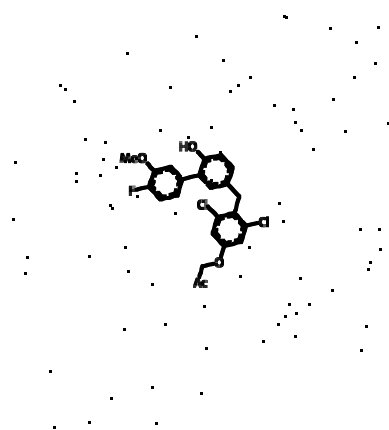 COc1cc(-c2cc(Cc3c(Cl)cc(OCC(C)=O)cc3Cl)ccc2O)ccc1F